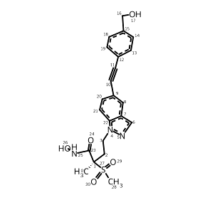 C[C@@](CCn1ncc2cc(C#Cc3ccc(CO)cc3)ccc21)(C(=O)NO)S(C)(=O)=O